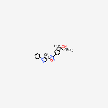 CC(=O)NCC(C)(O)c1ccc(-c2noc(-c3cnn(-c4ccccc4)c3C(F)(F)F)n2)cc1